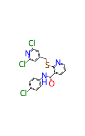 O=C(Nc1ccc(Cl)cc1)c1cccnc1SCc1cc(Cl)nc(Cl)c1